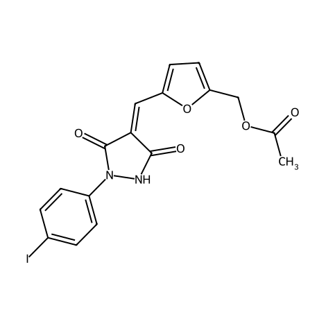 CC(=O)OCc1ccc(C=C2C(=O)NN(c3ccc(I)cc3)C2=O)o1